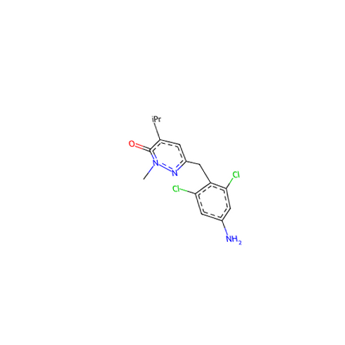 CC(C)c1cc(Cc2c(Cl)cc(N)cc2Cl)nn(C)c1=O